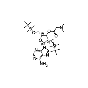 CN(C)CC(=O)OC1[C@@H](CO[Si](C)(C)C(C)(C)C)O[C@@H](n2cnc3c(N)ncnc32)[C@H]1O[Si](C)(C)C(C)(C)C